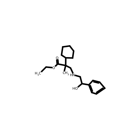 CCOC(=O)C(C)(CNCC(O)c1ccccc1)C1CCCCC1